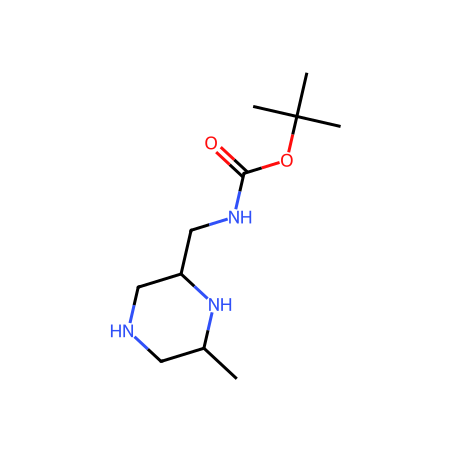 CC1CNCC(CNC(=O)OC(C)(C)C)N1